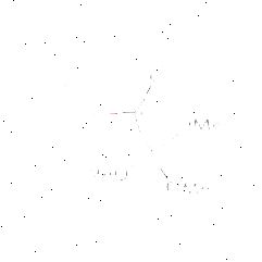 COC(OC)(OC)C(C)O[SiH3]